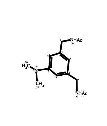 CC(=O)NCc1cc(CNC(C)=O)cc(N(C)C)c1